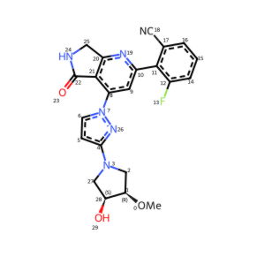 CO[C@@H]1CN(c2ccn(-c3cc(-c4c(F)cccc4C#N)nc4c3C(=O)NC4)n2)C[C@@H]1O